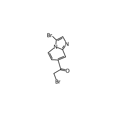 O=C(CBr)c1ccn2c(Br)cnc2c1